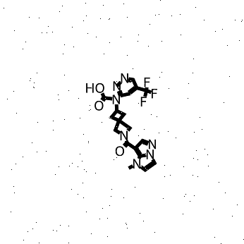 Cn1ccn2ncc(C(=O)N3CC4(CC(N(C(=O)O)c5cc(C(F)(F)F)cnn5)C4)C3)c12